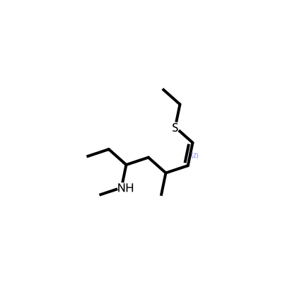 CCS/C=C\C(C)CC(CC)NC